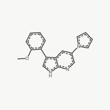 COc1ccccc1-c1c[nH]c2ncc(-n3cccc3)cc12